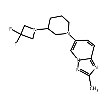 Cc1nc2ccc(N3CCCC(N4CC(F)(F)C4)C3)cn2n1